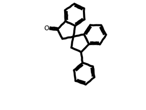 O=C1CC2(CC(c3ccccc3)c3ccccc32)c2ccccc21